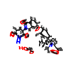 CC(C)(c1ccc(COc2cccc3c2CN(C2CCC(=O)NC2=O)C3=O)cc1)N1CCOCC1.O=CO